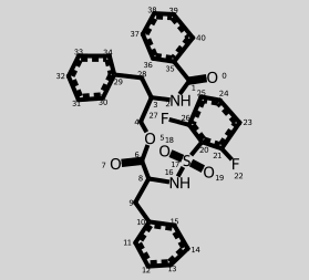 O=C(NC(COC(=O)C(Cc1ccccc1)NS(=O)(=O)c1c(F)cccc1F)Cc1ccccc1)c1ccccc1